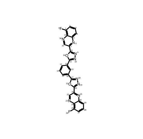 Fc1cccc2nc(-c3nnc(-c4cccc(-c5nnc(-c6cnc7c(F)cccc7n6)o5)c4)o3)cnc12